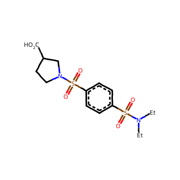 CCN(CC)S(=O)(=O)c1ccc(S(=O)(=O)N2CCC(C(=O)O)C2)cc1